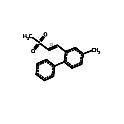 Cc1ccc(-c2ccccc2)c(/C=C/S(C)(=O)=O)c1